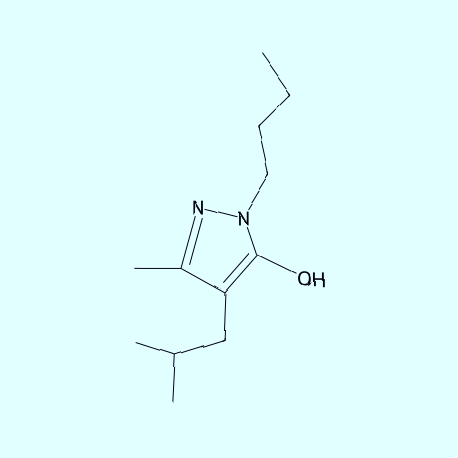 CCCCn1nc(C)c(CC(C)C)c1O